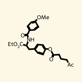 CCOC(=O)C(Cc1ccc(OC(=O)CCCC(C)=O)cc1)NC(=O)c1ccc(OC)cc1